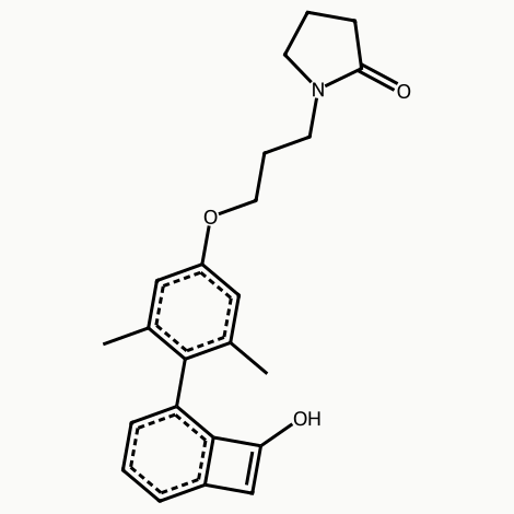 Cc1cc(OCCCN2CCCC2=O)cc(C)c1-c1cccc2c1C(O)=C2